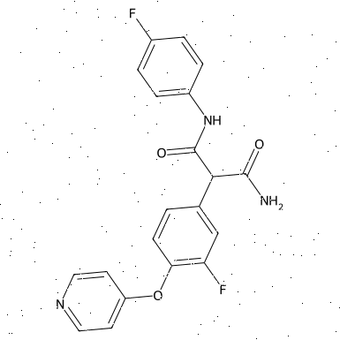 NC(=O)C(C(=O)Nc1ccc(F)cc1)c1ccc(Oc2ccncc2)c(F)c1